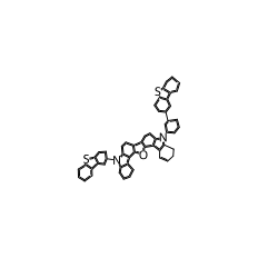 C1=Cc2c(n(-c3cccc(-c4ccc5sc6ccccc6c5c4)c3)c3ccc4c5ccc6c(c7ccccc7n6-c6ccc7sc8ccccc8c7c6)c5oc4c23)CC1